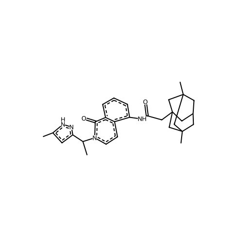 Cc1cc(C(C)n2ccc3c(NC(=O)CC45CC6CC(C)(CC(C)(C6)C4)C5)cccc3c2=O)n[nH]1